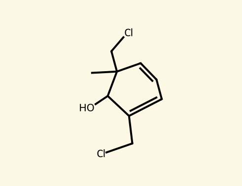 CC1(CCl)C=CC=C(CCl)C1O